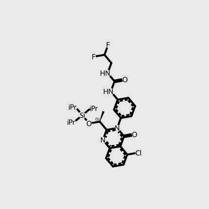 CC(C)[Si](O[C@@H](C)c1nc2cccc(Cl)c2c(=O)n1-c1cccc(NC(=O)NCC(F)F)c1)(C(C)C)C(C)C